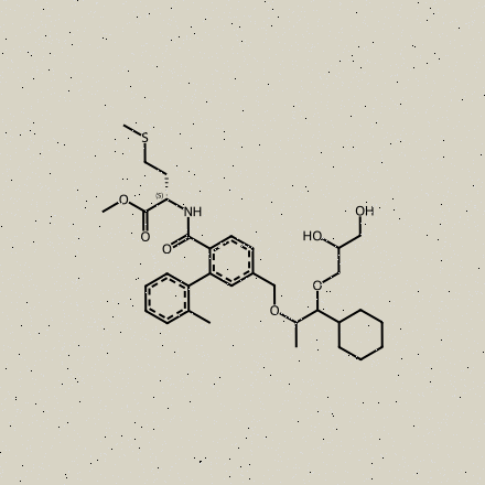 COC(=O)[C@H](CCSC)NC(=O)c1ccc(COC(C)C(OCC(O)CO)C2CCCCC2)cc1-c1ccccc1C